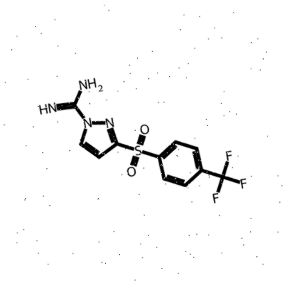 N=C(N)n1ccc(S(=O)(=O)c2ccc(C(F)(F)F)cc2)n1